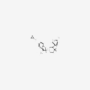 CC(Cc1ccc(OCC2CC2)cn1)(C(N)=O)N1CCC(F)(F)C(c2ccc(=O)[nH]c2)C1